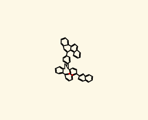 c1ccc(-c2ccccc2N(c2ccc(-c3ccc4ccccc4c3)cc2)c2ccc(-c3cc4ccccc4c4ccc5ccccc5c34)cc2)cc1